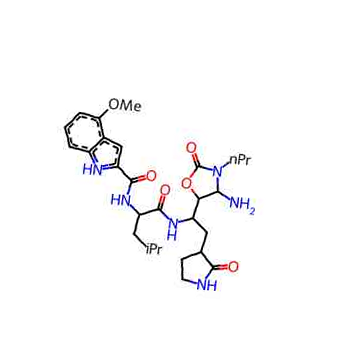 CCCN1C(=O)OC(C(CC2CCNC2=O)NC(=O)C(CC(C)C)NC(=O)c2cc3c(OC)cccc3[nH]2)C1N